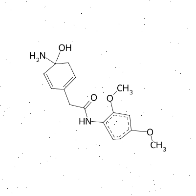 COc1ccc(NC(=O)CC2=CCC(N)(O)C=C2)c(OC)c1